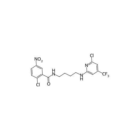 O=C(NCCCCNc1cc(C(F)(F)F)cc(Cl)n1)c1cc([N+](=O)[O-])ccc1Cl